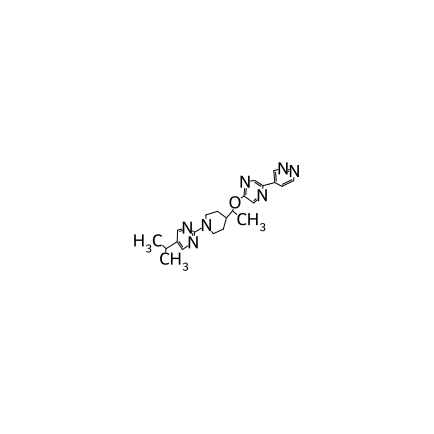 CC(C)c1cnc(N2CCC(C(C)Oc3cnc(-c4ccnnc4)cn3)CC2)nc1